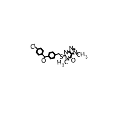 Cn1c(SCc2ccc(C(=O)c3ccc(Cl)cc3)cc2)nc2ncn(C)c2c1=O